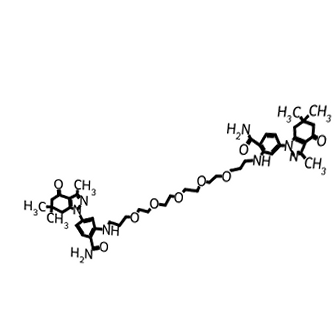 Cc1nn(-c2ccc(C(N)=O)c(NCCCOCCOCCOCCOCCOCCCNc3cc(-n4nc(C)c5c4CC(C)(C)CC5=O)ccc3C(N)=O)c2)c2c1C(=O)CC(C)(C)C2